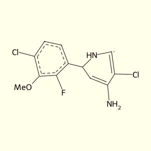 COc1c(Cl)ccc(C2C=C(N)C(Cl)=[C]N2)c1F